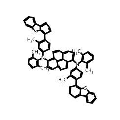 Cc1cc(N(c2c(C)cccc2C)c2ccc3ccc4c(N(c5ccc(-c6cccc7c6sc6ccccc67)c(C)c5)c5c(C)cccc5C)ccc5ccc2c3c54)ccc1-c1cccc2c1sc1ccccc12